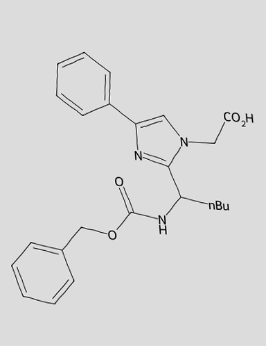 CCCCC(NC(=O)OCc1ccccc1)c1nc(-c2ccccc2)cn1CC(=O)O